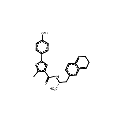 COc1ccc(-c2cc(C(=O)N[C@H](Cc3ccc4c(c3)=CCCC=4)C(=O)O)c(C)o2)cc1